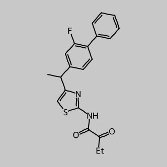 CCC(=O)C(=O)Nc1nc(C(C)c2ccc(-c3ccccc3)c(F)c2)cs1